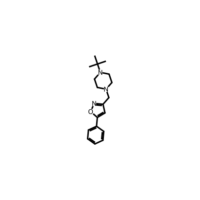 CC(C)(C)N1CCN(Cc2cc(-c3ccccc3)on2)CC1